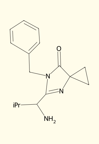 CC(C)C(N)C1=NC2(CC2)C(=O)N1Cc1ccccc1